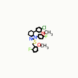 COc1cc(C2CCCc3nc(SCc4c(F)cccc4OC)n(-c4ccc(F)cc4)c32)ccc1Cl